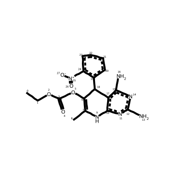 CCOC(=O)OC1=C(C)Nc2nc(N)nc(N)c2C1c1ccccc1[N+](=O)[O-]